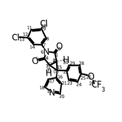 O=C1[C@@H]2[C@H](C(=O)N1c1cc(Cl)cc(Cl)c1)[C@@]2(c1ccncc1)c1ccc(OC(F)(F)F)cc1